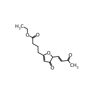 CCOC(=O)CCCC1=CC(=O)C(C=CC(C)=O)O1